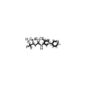 C[S+]([O-])C(CC(=O)Nc1cn(-c2cccnc2)nc1Cl)C(F)(F)F